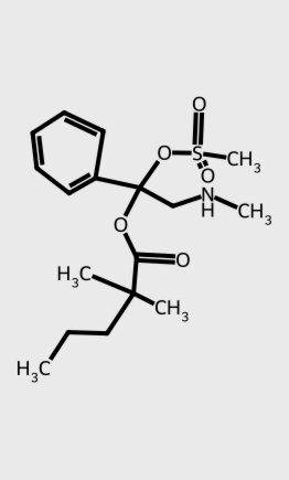 CCCC(C)(C)C(=O)OC(CNC)(OS(C)(=O)=O)c1ccccc1